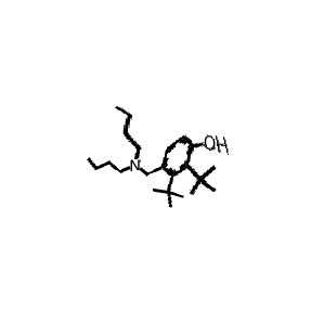 CCCCN(CCCC)Cc1ccc(O)c(C(C)(C)C)c1C(C)(C)C